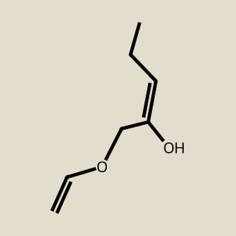 C=COC/C(O)=C\CC